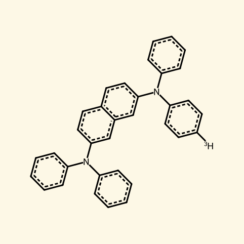 [3H]c1ccc(N(c2ccccc2)c2ccc3ccc(N(c4ccccc4)c4ccccc4)cc3c2)cc1